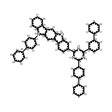 c1ccc(-c2ccc(-c3nc(-c4cccc(-c5ccccc5)c4)nc(-c4ccc5c(c4)oc4cc6c7ccccc7n(-c7ccc(-c8ccccc8)cc7)c6cc45)n3)cc2)cc1